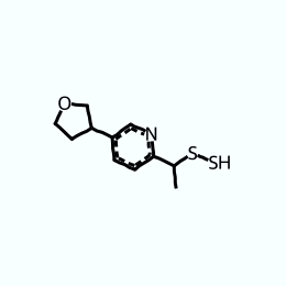 CC(SS)c1ccc(C2CCOC2)cn1